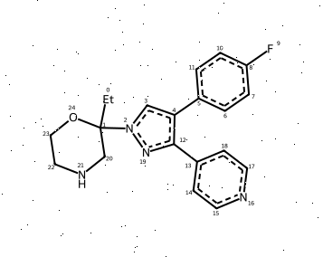 CCC1(n2cc(-c3ccc(F)cc3)c(-c3ccncc3)n2)CNCCO1